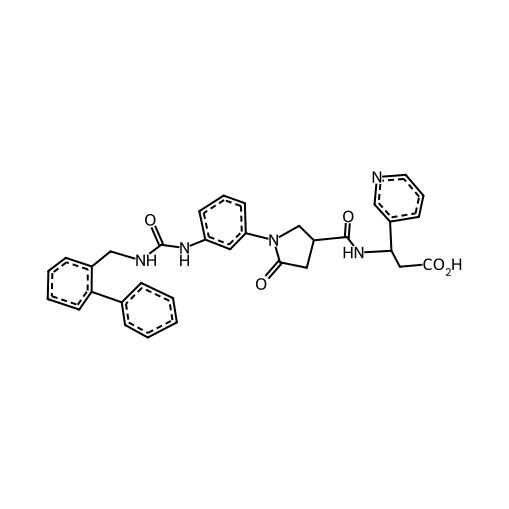 O=C(O)CC(NC(=O)C1CC(=O)N(c2cccc(NC(=O)NCc3ccccc3-c3ccccc3)c2)C1)c1cccnc1